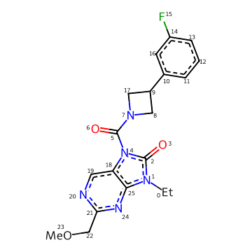 CCn1c(=O)n(C(=O)N2CC(c3cccc(F)c3)C2)c2cnc(COC)nc21